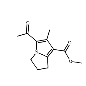 COC(=O)c1c(C)c(C(C)=O)n2c1CCC2